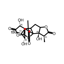 C[C@@H]1C(=O)OC2CC34C5OC(=O)C3(OC3OC(=O)[C@H](O)C34[C@H](C(C)(C)C)[C@H]5O)[C@]21O